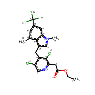 CCOC(=O)Cc1ncc(Cl)c(Cc2cn(C)c3cc(C(F)(F)F)cc(C)c23)c1Cl